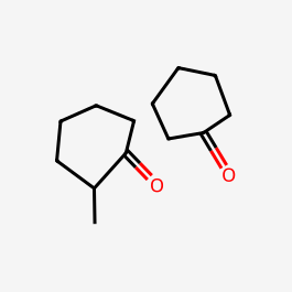 CC1CCCCC1=O.O=C1CCCCC1